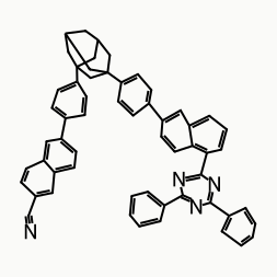 N#Cc1ccc2cc(-c3ccc(C45CC6CC(C4)CC(c4ccc(-c7ccc8c(-c9nc(-c%10ccccc%10)nc(-c%10ccccc%10)n9)cccc8c7)cc4)(C6)C5)cc3)ccc2c1